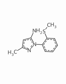 CSc1ccccc1-n1nc(C)cc1N